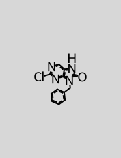 O=c1[nH]c2cnc(Cl)nc2n1Cc1ccccc1